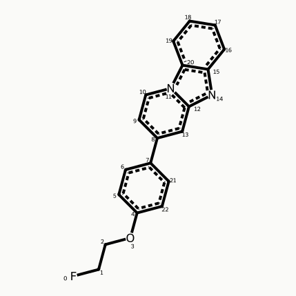 FCCOc1ccc(-c2ccn3c(c2)nc2ccccc23)cc1